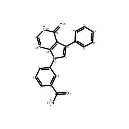 NC(=O)c1cccc(-n2cc(-c3ccccc3)c3c(=O)[nH]cnc32)c1